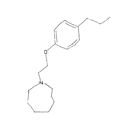 CCCc1ccc(OCCN2CCCCCC2)cc1